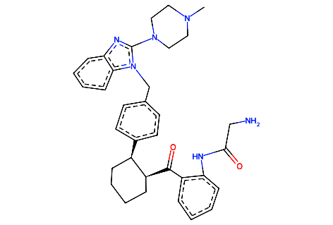 CN1CCN(c2nc3ccccc3n2Cc2ccc([C@@H]3CCCC[C@@H]3C(=O)c3ccccc3NC(=O)CN)cc2)CC1